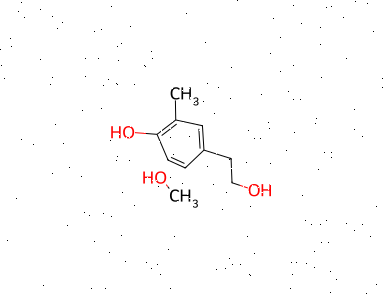 CO.Cc1cc(CCO)ccc1O